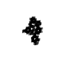 CC(C)c1ccc([C@H](NC(=O)[C@@H]2C[C@@H](F)CN2C(=O)Cc2cnn[nH]2)c2cccc(-c3cnco3)c2)nc1F